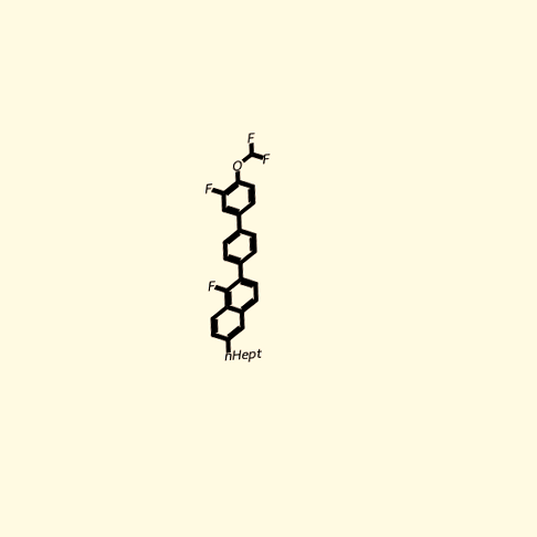 CCCCCCCc1ccc2c(F)c(-c3ccc(-c4ccc(OC(F)F)c(F)c4)cc3)ccc2c1